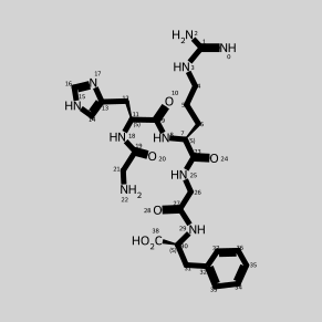 N=C(N)NCCC[C@H](NC(=O)[C@H](Cc1c[nH]cn1)NC(=O)CN)C(=O)NCC(=O)N[C@@H](Cc1ccccc1)C(=O)O